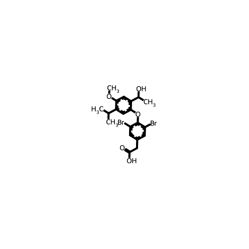 COc1cc(C(C)O)c(Oc2c(Br)cc(CC(=O)O)cc2Br)cc1C(C)C